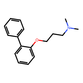 CN(C)CCCOc1ccccc1-c1ccccc1